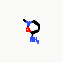 CN1C=CC=C(N)O1